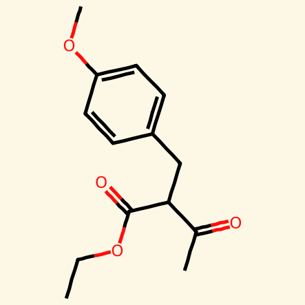 CCOC(=O)C(Cc1ccc(OC)cc1)C(C)=O